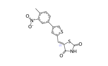 Cc1ccc(-c2csc(/C=C3\SC(=O)NC3=O)c2)cc1[N+](=O)[O-]